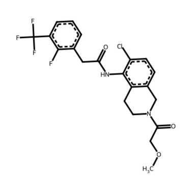 COCC(=O)N1CCc2c(ccc(Cl)c2NC(=O)Cc2cccc(C(F)(F)F)c2F)C1